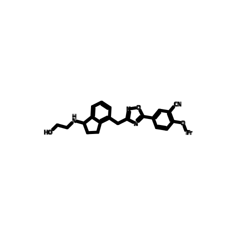 CC(C)Oc1ccc(-c2nc(Cc3cccc4c3CCC4NCCO)no2)cc1C#N